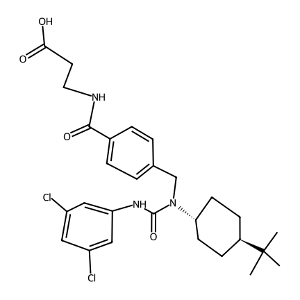 CC(C)(C)[C@H]1CC[C@H](N(Cc2ccc(C(=O)NCCC(=O)O)cc2)C(=O)Nc2cc(Cl)cc(Cl)c2)CC1